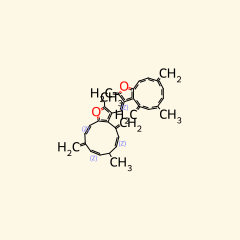 C=C1/C=C\c2oc(C)c(/C=c3\c(=C)oc4ccc(=C)ccc(C)cc(=C)c34)c2C(=C)/C=C\C(C)/C=C\1